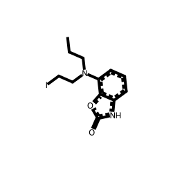 CCCN(CCI)c1cccc2[nH]c(=O)oc12